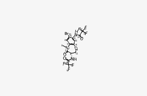 CN1C(=O)[C@@H](NC(=O)C(F)(F)F)COc2cc(NC(=O)C(F)(F)F)c(Br)cc21